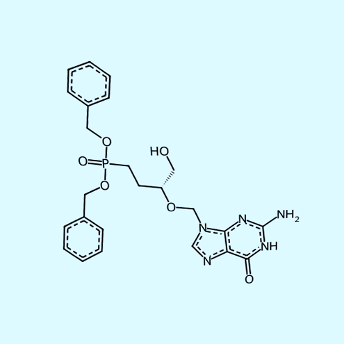 Nc1nc2c(ncn2CO[C@@H](CO)CCP(=O)(OCc2ccccc2)OCc2ccccc2)c(=O)[nH]1